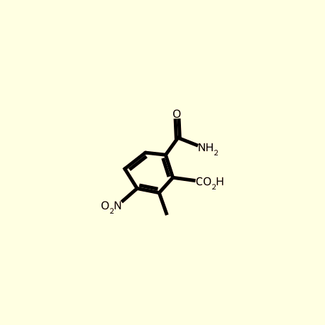 Cc1c([N+](=O)[O-])ccc(C(N)=O)c1C(=O)O